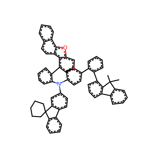 CC1(C)c2ccccc2-c2cccc(-c3ccccc3-c3ccc(N(c4ccc5c(c4)C4(CCCCC4)c4ccccc4-5)c4ccccc4-c4cccc5oc6c7ccccc7ccc6c45)cc3)c21